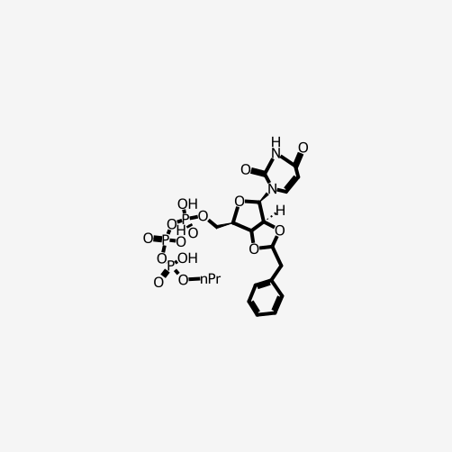 CCCOP(=O)(O)OP(=O)(O)OP(=O)(O)OC[C@H]1O[C@@H](n2ccc(=O)[nH]c2=O)[C@H]2OC(Cc3ccccc3)OC12